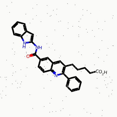 O=C(O)CCCCc1cc2cc(C(=O)Nc3cc4ccccc4[nH]3)ccc2nc1-c1ccccc1